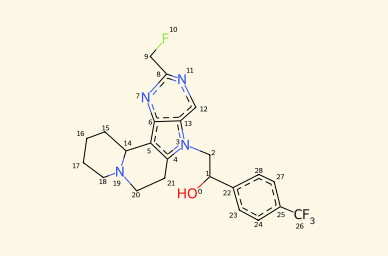 OC(Cn1c2c(c3nc(CF)ncc31)C1CCCCN1CC2)c1ccc(C(F)(F)F)cc1